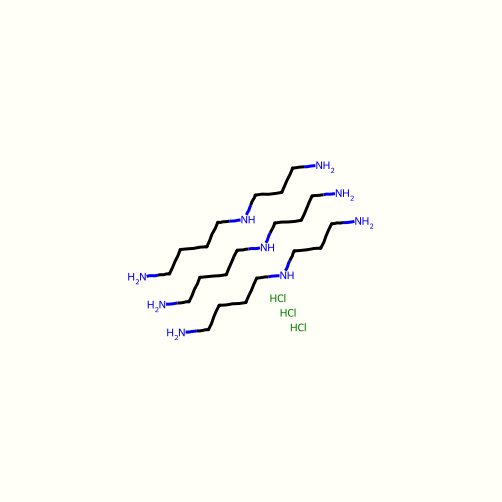 Cl.Cl.Cl.NCCCCNCCCN.NCCCCNCCCN.NCCCCNCCCN